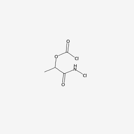 CC(OC(=O)Cl)C(=O)NCl